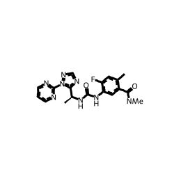 CNC(=O)c1cc(NC(=O)N[C@@H](C)c2ncnn2-c2ncccn2)c(F)cc1C